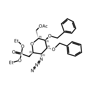 CCOP(=O)(C[C@H]1O[C@H](COC(C)=O)[C@@H](OCc2ccccc2)[C@H](OCc2ccccc2)[C@@H]1N=[N+]=[N-])OCC